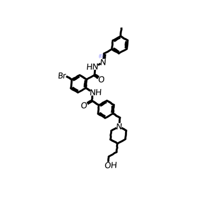 Cc1cccc(/C=N/NC(=O)c2cc(Br)ccc2NC(=O)c2ccc(CN3CCC(CCO)CC3)cc2)c1